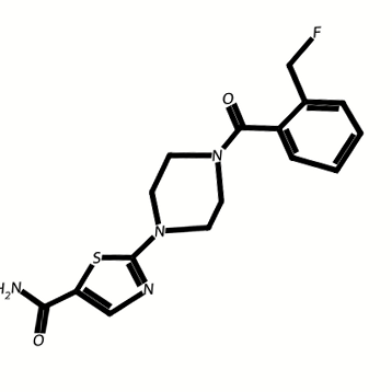 NC(=O)c1cnc(N2CCN(C(=O)c3ccccc3CF)CC2)s1